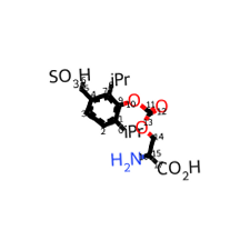 CC(C)c1ccc(CS(=O)(=O)O)c(C(C)C)c1OC(=O)OCC(N)C(=O)O